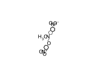 CN(CCOc1ccc([N+](=O)[O-])cc1)C1Cc2ccc([N+](=O)[O-])cc2C1